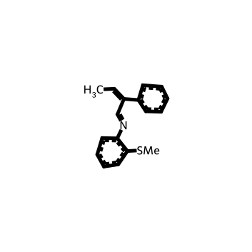 C/C=C(\C=Nc1ccccc1SC)c1ccccc1